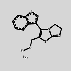 Br.CCOCC1=C(c2csc3ccccc23)N2CCN=C2S1